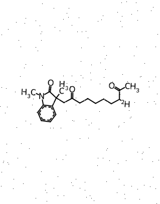 [2H]C(CCCCCC(=O)CC1(C)C(=O)N(C)c2ccccc21)C(C)=O